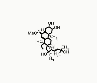 CO/N=C1\C=C2C(CC[C@]3(C)[C@@H]([C@@](C)(O)[C@H](O)CCC(C)(C)O)CC[C@@]23O)[C@@]2(C)C[C@H](O)[C@H](O)C[C@@H]12